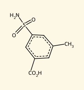 Cc1cc(C(=O)O)cc(S(N)(=O)=O)c1